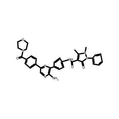 Cc1c(C(=O)Nc2ccc(-c3nc(-c4ccc(C(=O)N5CCOCC5)cc4)cnc3N)cc2)c(=O)n(-c2ccccc2)n1C